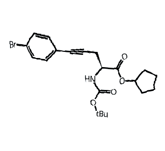 CC(C)(C)OC(=O)N[C@@H](CC#Cc1ccc(Br)cc1)C(=O)OC1CCCC1